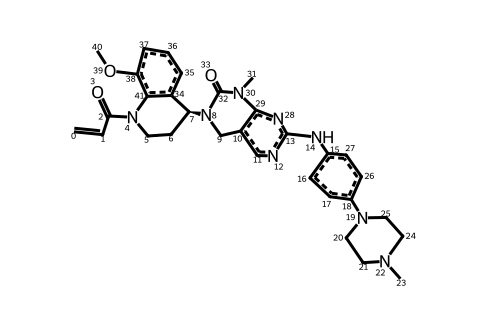 C=CC(=O)N1CC[C@H](N2Cc3cnc(Nc4ccc(N5CCN(C)CC5)cc4)nc3N(C)C2=O)c2cccc(OC)c21